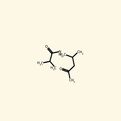 CC(=O)CC(C)C.CC(C)C(N)=O